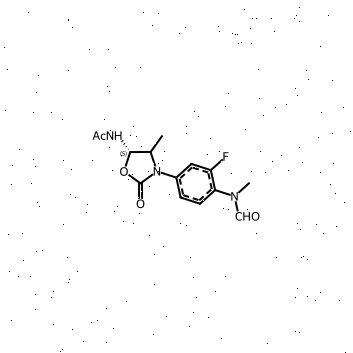 CC(=O)N[C@H]1OC(=O)N(c2ccc(N(C)C=O)c(F)c2)C1C